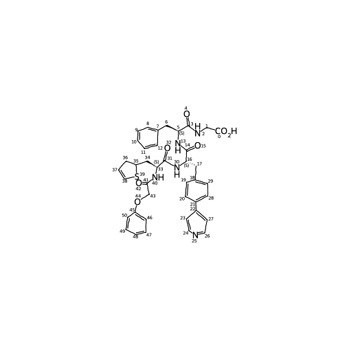 O=C(O)CNC(=O)[C@H](Cc1ccccc1)NC(=O)[C@H](Cc1ccc(-c2ccncc2)cc1)NC(=O)[C@H](CC1CC=CS1)NC(=O)COc1ccccc1